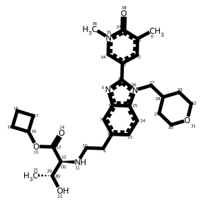 Cc1cc(-c2nc3cc(CCN[C@H](C(=O)OC4CCC4)[C@@H](C)O)ccc3n2CC2CCOCC2)cn(C)c1=O